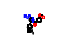 Cc1ccc(-c2cc(N)nn2C(=O)c2ccc3c(c2)OCO3)cc1